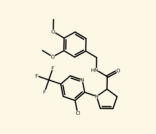 COc1ccc(CNC(=O)C2CC=CN2c2ncc(C(F)(F)F)cc2Cl)cc1OC